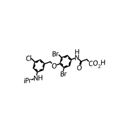 CC(C)Nc1cc(Cl)cc(COc2c(Br)cc(NC(=O)CC(=O)O)cc2Br)c1